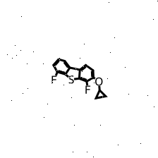 Fc1cccc2c1sc1c(F)c(OC3CC3)ccc12